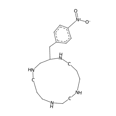 O=[N+]([O-])c1ccc(CC2CNCCCNCCNCCCN2)cc1